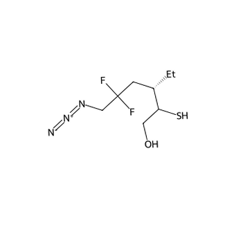 CC[C@@H](CC(F)(F)CN=[N+]=[N-])C(S)CO